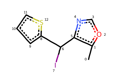 Cc1ocnc1C(I)c1cccs1